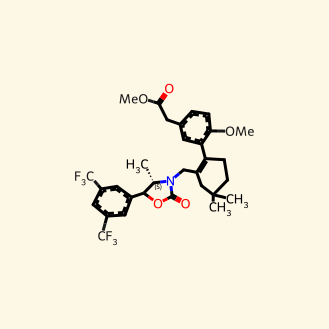 COC(=O)Cc1ccc(OC)c(C2=C(CN3C(=O)OC(c4cc(C(F)(F)F)cc(C(F)(F)F)c4)[C@@H]3C)CC(C)(C)CC2)c1